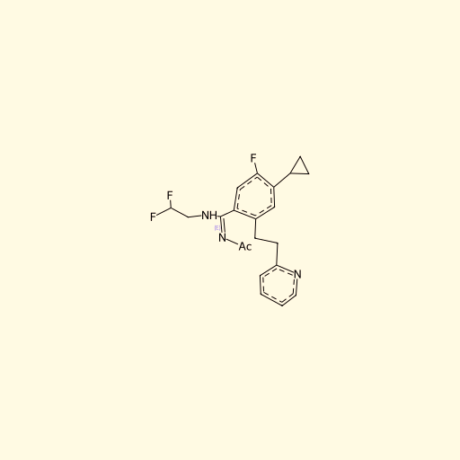 CC(=O)/N=C(/NCC(F)F)c1cc(F)c(C2CC2)cc1CCc1ccccn1